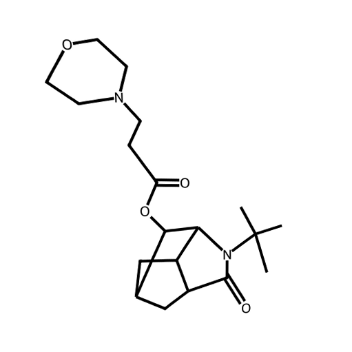 CC(C)(C)N1C(=O)C2CC3CC2C1C3OC(=O)CCN1CCOCC1